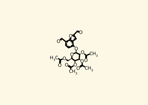 CC(=O)OC[C@H]1O[C@@H](Oc2ccc(C=O)c3oc(C=O)cc23)[C@H](OC(C)=O)[C@@H](OC(C)=O)[C@H]1OC(C)=O